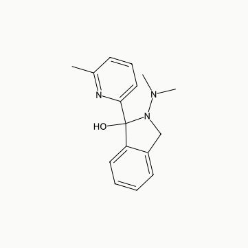 Cc1cccc(C2(O)c3ccccc3CN2N(C)C)n1